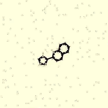 [c]1nnc(-c2ccc3ccccc3n2)s1